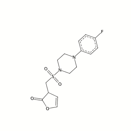 O=C1OC=CC1CS(=O)(=O)N1CCN(c2ccc(F)cc2)CC1